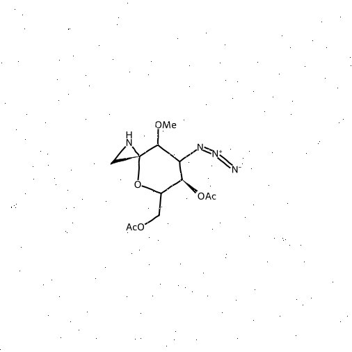 COC1C(N=[N+]=[N-])[C@@H](OC(C)=O)C(COC(C)=O)O[C@@]12CN2